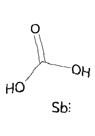 O=C(O)O.[Sb]